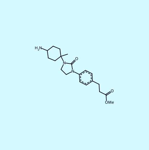 COC(=O)CCc1ccc(N2CCN(C3(C)CCC(N)CC3)C2=O)cc1